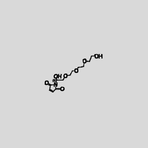 O=C1C=CC(=O)N1[C@@H](O)COCCOCCOCCO